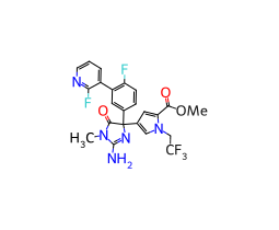 COC(=O)c1cc(C2(c3ccc(F)c(-c4cccnc4F)c3)N=C(N)N(C)C2=O)cn1CC(F)(F)F